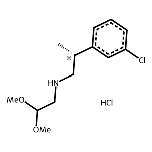 COC(CNC[C@H](C)c1cccc(Cl)c1)OC.Cl